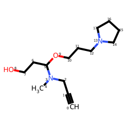 C#CCN(C)C(CCO)OCCCN1CCCC1